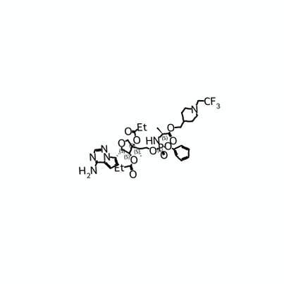 CCC(=O)O[C@H]1[C@H](c2ccc3c(N)ncnn23)OC[C@]1(OC(=O)CC)[C@@H](C)CO[P@@](=O)(N[C@@H](C)C(=O)OCC1CCN(CC(F)(F)F)CC1)Oc1ccccc1